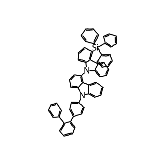 c1ccc(-c2ccccc2-c2ccc(-n3c4ccccc4c4c(-n5c6ccccc6c6c([Si](c7ccccc7)(c7ccccc7)c7ccccc7)cccc65)cccc43)cc2)cc1